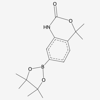 CC1(C)OC(=O)Nc2cc(B3OC(C)(C)C(C)(C)O3)ccc21